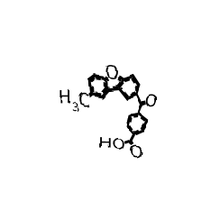 Cc1ccc2oc3ccc(C(=O)c4ccc(C(=O)O)cc4)cc3c2c1